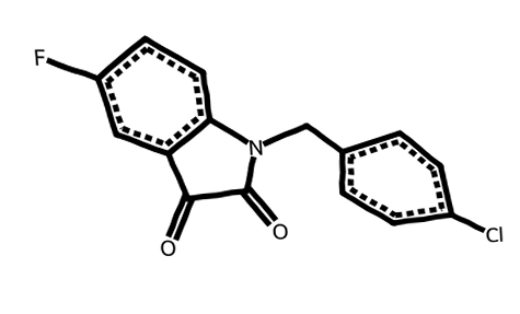 O=C1C(=O)N(Cc2ccc(Cl)cc2)c2ccc(F)cc21